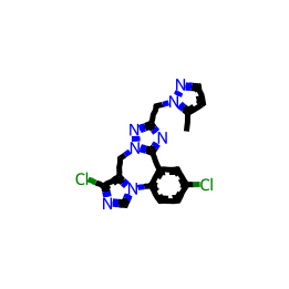 Cc1ccnn1Cc1nc2n(n1)Cc1c(Cl)ncn1-c1ccc(Cl)cc1-2